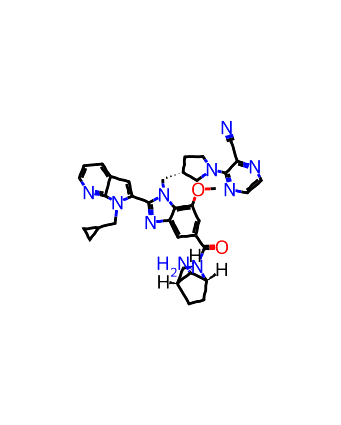 COc1cc(C(=O)N2C[C@H]3CC[C@@H]2[C@@H]3N)cc2nc(-c3cc4cccnc4n3CC3CC3)n(C[C@@H]3CCN(c4nccnc4C#N)C3)c12